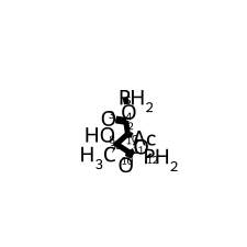 CC(=O)C(C(=O)OP)C(C)(O)C(=O)OP